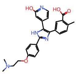 Cc1ccc(-c2nc(-c3ccc(OCCN(C)C)cc3)[nH]c2-c2ccnc(O)c2)cc1C(=O)O